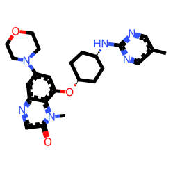 Cc1cnc(N[C@H]2CC[C@@H](Oc3cc(N4CCOCC4)cc4ncc(=O)n(C)c34)CC2)nc1